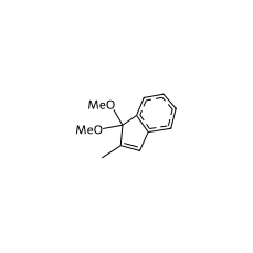 COC1(OC)C(C)=Cc2ccccc21